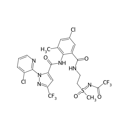 Cc1cc(Cl)cc(C(=O)NCCS(C)(=O)=NC(=O)C(F)(F)F)c1NC(=O)c1cc(C(F)(F)F)nn1-c1ncccc1Cl